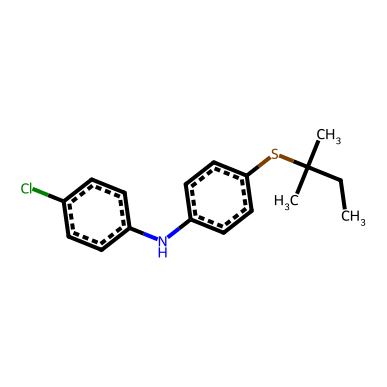 CCC(C)(C)Sc1ccc(Nc2ccc(Cl)cc2)cc1